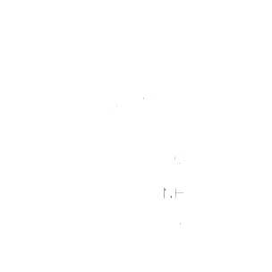 O=CNCC(=O)c1ccc(OCc2ccccc2)c(OCc2ccccc2)c1